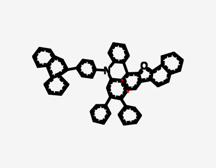 c1ccc(-c2ccc(N(c3ccc(-c4cc5ccccc5c5ccccc45)cc3)c3ccccc3-c3cccc4c3oc3c5ccccc5ccc43)cc2-c2ccccc2)cc1